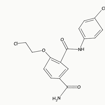 NC(=O)c1ccc(OCCCl)c(C(=O)Nc2ccc(Cl)cc2)c1